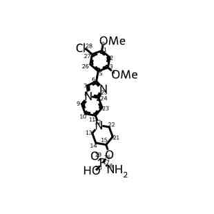 COc1cc(OC)c(-c2cn3ccc(N4CCC(OP(N)(=O)O)CC4)cc3n2)cc1Cl